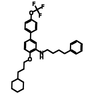 FC(F)(F)Oc1ccc(-c2ccc(OCCCC3CCCCC3)c(NCCCCc3ccccc3)c2)cc1